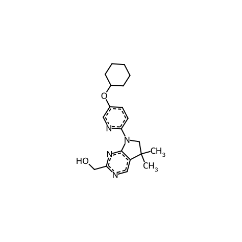 CC1(C)CN(c2ccc(OC3CCCCC3)cn2)c2nc(CO)ncc21